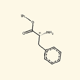 CC(C)OC(=O)[C@H](N)Cc1ccccc1